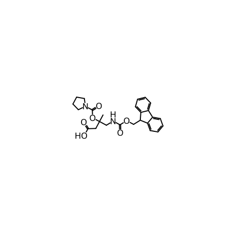 CC(CNC(=O)OCC1c2ccccc2-c2ccccc21)(CC(=O)O)OC(=O)N1CCCC1